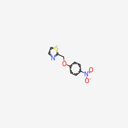 O=[N+]([O-])c1ccc(OCc2nccs2)cc1